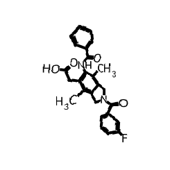 Cc1c2c(c(C)c(NC(=O)c3ccccc3)c1CC(=O)O)CN(C(=O)c1cccc(F)c1)C2